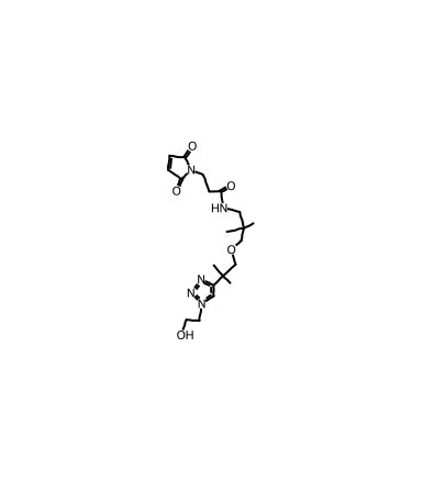 CC(C)(CNC(=O)CCN1C(=O)C=CC1=O)COCC(C)(C)c1cn(CCO)nn1